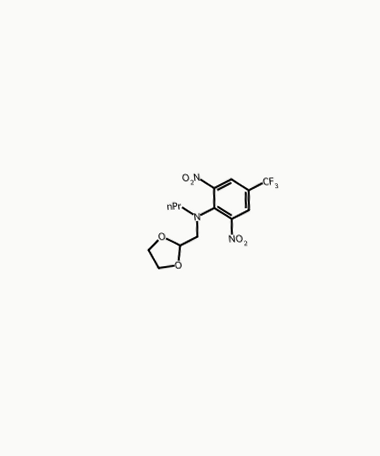 CCCN(CC1OCCO1)c1c([N+](=O)[O-])cc(C(F)(F)F)cc1[N+](=O)[O-]